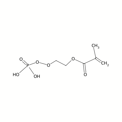 C=C(C)C(=O)OCCOOP(=O)(O)O